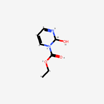 CCOC(=O)N1C=CC=NC1O